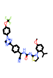 COc1ccc(C(C)C)c(N2CCS/C2=N\C(=O)NC(C#N)c2ccc(-c3ncn(-c4ccc(OC(F)(F)F)cc4)n3)cc2)c1